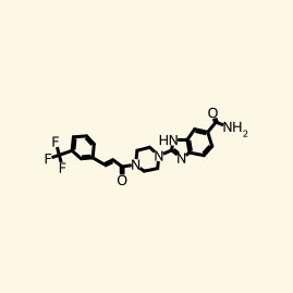 NC(=O)c1ccc2nc(N3CCN(C(=O)C=Cc4cccc(C(F)(F)F)c4)CC3)[nH]c2c1